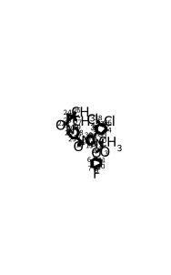 CN(C(=O)Oc1ccc(F)cc1)[C@@H]1CN(C(=O)C2CCN(C(=O)C3CC3(C)C)CC2)C[C@H]1c1ccc(Cl)c(Cl)c1